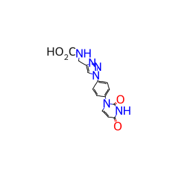 O=C(O)NCc1cn(-c2ccc(-n3ccc(=O)[nH]c3=O)cc2)nn1